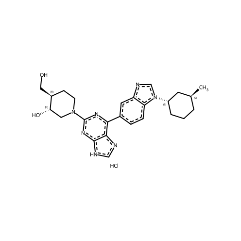 C[C@H]1CCC[C@H](n2cnc3cc(-c4nc(N5CC[C@H](CO)[C@@H](O)C5)nc5[nH]cnc45)ccc32)C1.Cl